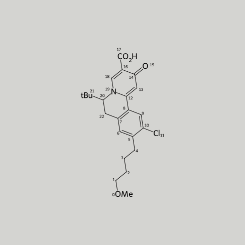 COCCCCc1cc2c(cc1Cl)-c1cc(=O)c(C(=O)O)cn1C(C(C)(C)C)C2